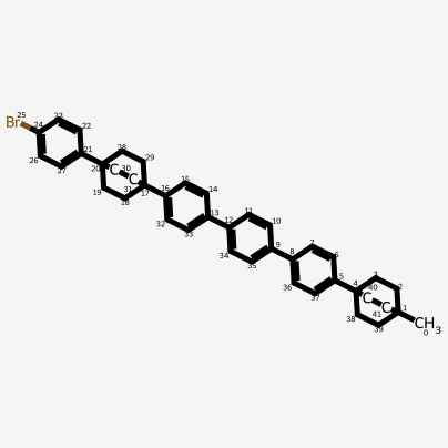 CC12CCC(c3ccc(-c4ccc(-c5ccc(C67CCC(c8ccc(Br)cc8)(CC6)CC7)cc5)cc4)cc3)(CC1)CC2